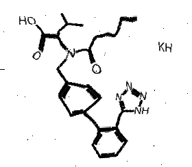 CCCCC(=O)N(Cc1ccc(-c2ccccc2-c2nnn[nH]2)cc1)C(C(=O)O)C(C)C.[KH]